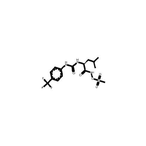 CC(C)C[C@H](NC(=O)Nc1ccc(C(F)(F)F)cc1)C(=O)NOS(C)(=O)=O